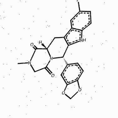 CN1CC(=O)N2[C@@H](c3ccc4c(c3)OCO4)c3[nH]c4ccc(F)cc4c3C[C@H]2C1=O